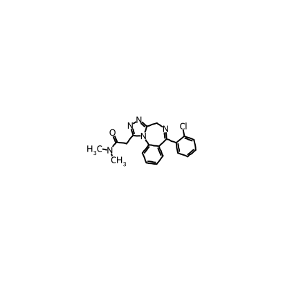 CN(C)C(=O)Cc1nnc2n1-c1ccccc1C(c1ccccc1Cl)=NC2